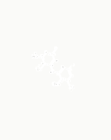 Cc1cc(O)c(C(C)(C)C)c(Sc2cc(C)cc(O)c2C(C)(C)C)c1